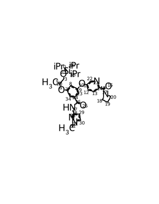 CC(C)[Si](OC[C@H](C)Oc1cc(Oc2ccc(C(=O)N3CCC3)nc2)cc(C(=O)Nc2ccn(C)n2)c1)(C(C)C)C(C)C